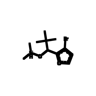 C[SiH](C)OC(c1occc1Br)C(C)(C)C